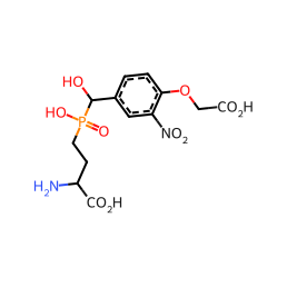 NC(CCP(=O)(O)C(O)c1ccc(OCC(=O)O)c([N+](=O)[O-])c1)C(=O)O